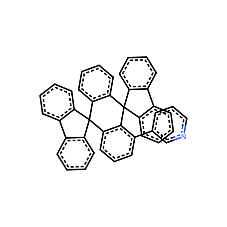 c1cncc(-c2cccc3c2C2(c4ccccc4-c4ccccc42)c2ccccc2C32c3ccccc3-c3ccccc32)c1